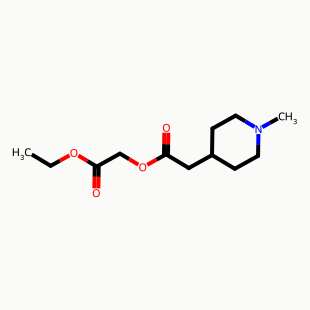 CCOC(=O)COC(=O)CC1CCN(C)CC1